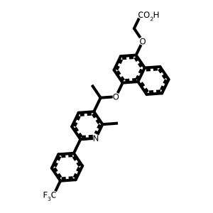 Cc1nc(-c2ccc(C(F)(F)F)cc2)ccc1C(C)Oc1ccc(OCC(=O)O)c2ccccc12